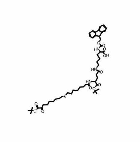 CC(C)(C)OC(=O)C(=O)CCCCCCCSCCCCCCCC(=O)NC(CCC(=O)NCCCCC(NC(=O)OCC1c2ccccc2-c2ccccc21)C(=O)O)C(=O)OC(C)(C)C